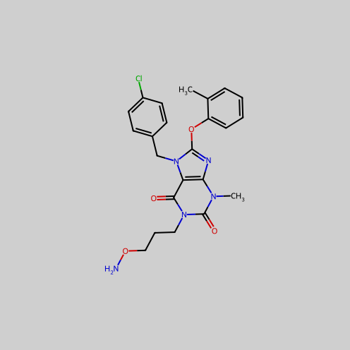 Cc1ccccc1Oc1nc2c(c(=O)n(CCCON)c(=O)n2C)n1Cc1ccc(Cl)cc1